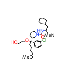 CNCC(CC1CCCCC1)NC(=O)N1CCC[C@@H](C(CCCCOC)(OCCCO)c2cccc(Cl)c2)C1